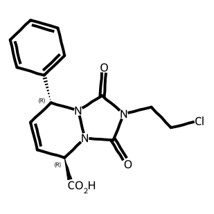 O=C(O)[C@H]1C=C[C@H](c2ccccc2)n2c(=O)n(CCCl)c(=O)n21